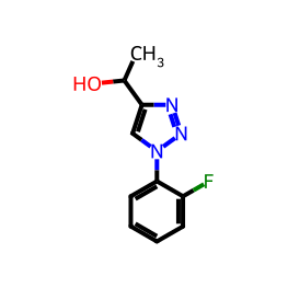 CC(O)c1cn(-c2ccccc2F)nn1